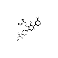 CC1(COc2c(N3CCN(S(=O)(=O)CCl)CC3)cnn(-c3cccc(Cl)c3)c2=O)CC1